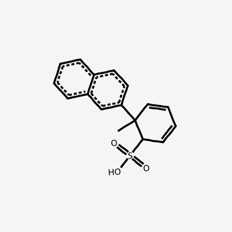 CC1(c2ccc3ccccc3c2)C=CC=CC1S(=O)(=O)O